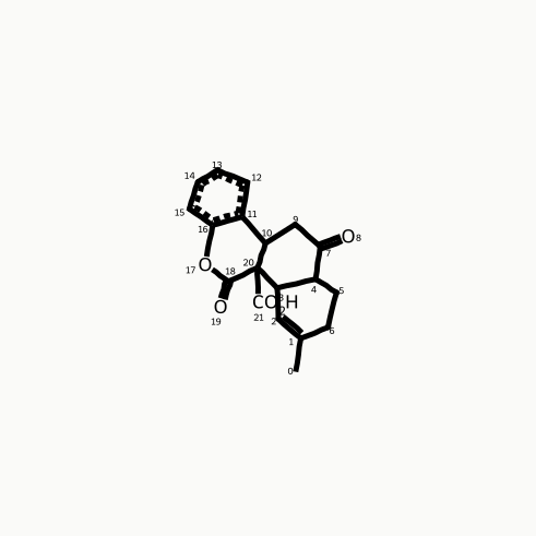 CC1=CC2C(CC1)C(=O)CC1c3ccccc3OC(=O)C12C(=O)O